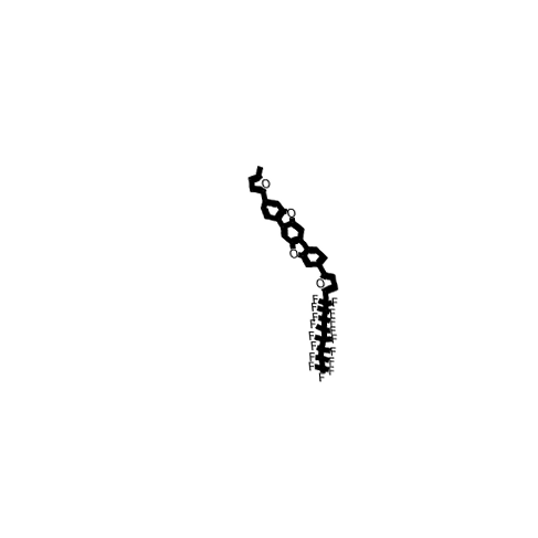 Cc1ccc(-c2ccc3c(c2)oc2cc4c(cc23)oc2cc(-c3ccc(C(F)(F)C(F)(F)C(F)(F)C(F)(F)C(F)(F)C(F)(F)C(F)(F)C(F)(F)F)o3)ccc24)o1